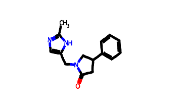 Cc1ncc(CN2CC(c3ccccc3)CC2=O)[nH]1